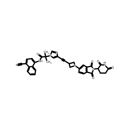 CC(C)(C(=O)Nc1ccc(C#N)c2ccccc12)n1cnc(C#CC2CN(c3ccc4c(c3)C(=O)N(C3CCC(=O)NC3=O)C4=O)C2)c1